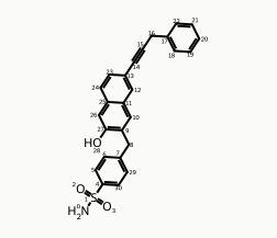 NS(=O)(=O)c1ccc(Cc2cc3cc(C#CCc4ccccc4)ccc3cc2O)cc1